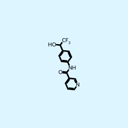 O=C(Nc1ccc(C(O)C(F)(F)F)cc1)c1cccnc1